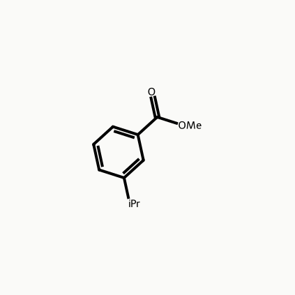 [CH2]C(C)c1cccc(C(=O)OC)c1